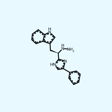 NN[C@H](Cc1c[nH]c2ccccc12)c1nc(-c2ccccc2)c[nH]1